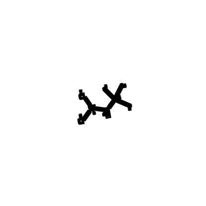 CC(C)(C)[NH][W]([Cl])[Cl]